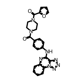 O=C(c1ccc(Nc2nc3ccccc3n3nnnc23)cc1)N1CCN(C(=O)c2ccco2)CC1